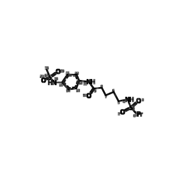 CC(C)S(=O)(=O)NCCCCC(=O)Nc1ccc(NS(C)(=O)=O)cc1